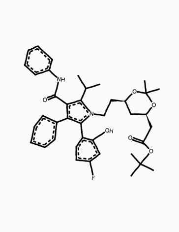 CC(C)c1c(C(=O)Nc2ccccc2)c(-c2ccccc2)c(-c2ccc(F)cc2O)n1CC[C@@H]1C[C@H](CC(=O)OC(C)(C)C)OC(C)(C)O1